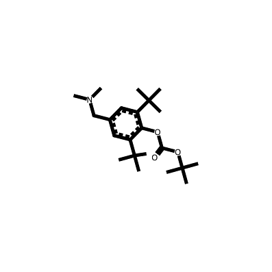 CN(C)Cc1cc(C(C)(C)C)c(OC(=O)OC(C)(C)C)c(C(C)(C)C)c1